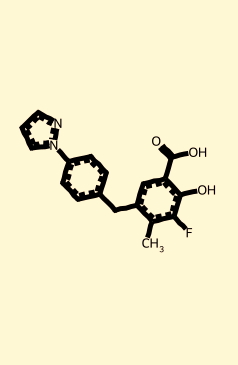 Cc1c(Cc2ccc(-n3cccn3)cc2)cc(C(=O)O)c(O)c1F